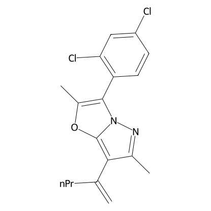 C=C(CCC)c1c(C)nn2c(-c3ccc(Cl)cc3Cl)c(C)oc12